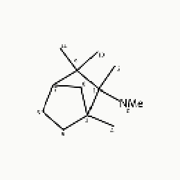 CNC1(C)C2(C)CCC(C2)C1(C)C